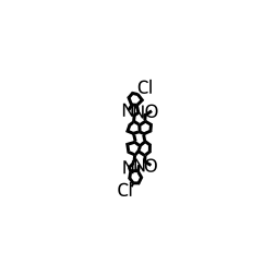 O=c1c2ccc3c4ccc5c(=O)n6c7cc(Cl)ccc7nc6c6ccc(c7ccc(c2c37)c2nc3cc(Cl)ccc3n12)c4c56